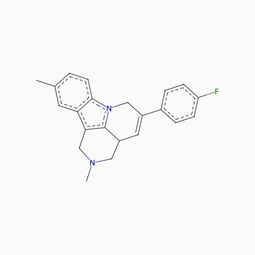 Cc1ccc2c(c1)c1c3n2CC(c2ccc(F)cc2)=CC3CN(C)C1